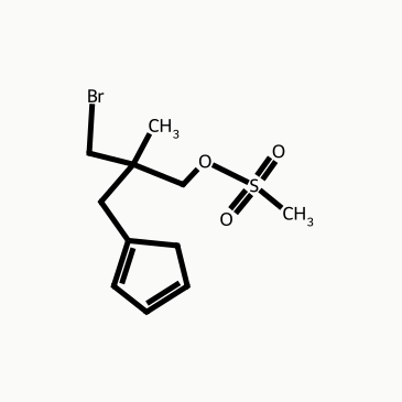 CC(CBr)(COS(C)(=O)=O)CC1=CC=CC1